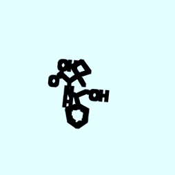 CC1(C(NC(CO)c2ccccc2)C(=O)O)CCC1